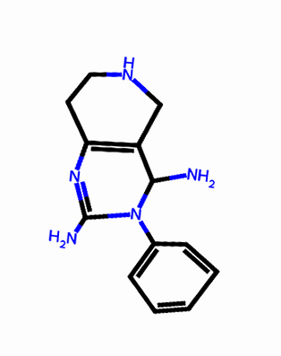 NC1=NC2=C(CNCC2)C(N)N1c1ccccc1